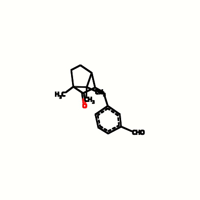 CC12CCC(C(=Cc3cccc(C=O)c3)C1=O)C2(C)C